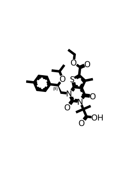 CCOC(=O)c1sc2c(c1C)c(=O)n(C(C)(C)C(=O)O)c(=O)n2C[C@H](OC(C)C)c1ccc(C)cc1